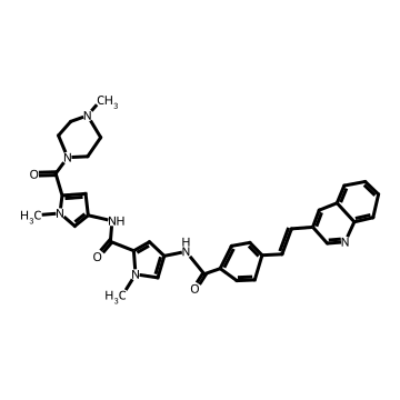 CN1CCN(C(=O)c2cc(NC(=O)c3cc(NC(=O)c4ccc(/C=C/c5cnc6ccccc6c5)cc4)cn3C)cn2C)CC1